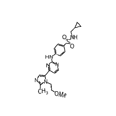 COCCn1c(-c2ccnc(Nc3ccc(S(=O)(=O)NCC4CC4)cc3)n2)cnc1C